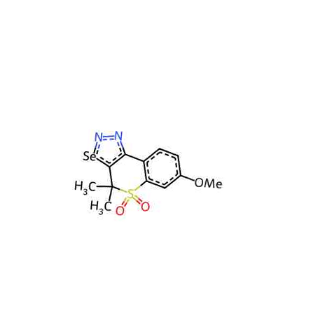 COc1ccc2c(c1)S(=O)(=O)C(C)(C)c1[se]nnc1-2